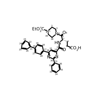 CCOC(=O)N1CCN(C(=O)[C@H](CCC(=O)O)NC(=O)c2cc(-c3ccc(-c4ccccc4)cc3)nc(-c3ccccc3)n2)CC1